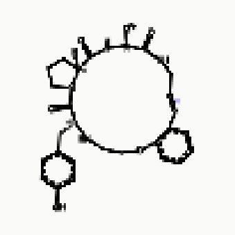 CCC[C@@H]1NC(=O)[C@H]2CCCN2C(=O)[C@@H](Cc2ccc(O)cc2)NCCOc2ccccc2/C=C/CNC1=O